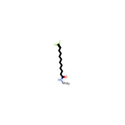 CC(=O)NNC(=O)CCCCCCCCCC=C(F)F